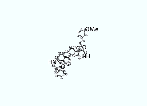 COc1cccc(/C=C/C(=O)OC2(c3cccc(C(C)c4ccccc4C(=O)OC4(c5ccccc5)CCNCC4)c3)CCNCC2)c1